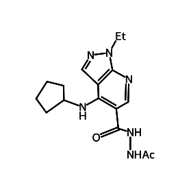 CCn1ncc2c(NC3CCCC3)c(C(=O)NNC(C)=O)cnc21